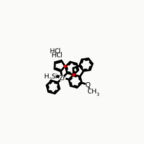 COc1cc[c]([Zr](=[SiH2])([C]2=CC=CC2)([c]2ccccc2)[c]2ccccc2)c2c1-c1ccccc1C2.Cl.Cl